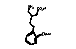 COc1ccccc1CCC(CN)CC(=O)O